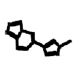 Cn1cc(-c2ccc3nncn3c2)cn1